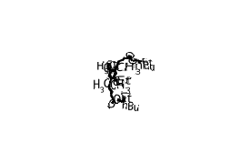 CCCCC(CC)COC(=O)CCCC(C)(C)c1cc(OCC)c(C(C)(C)CCCC(=O)OCC(CC)CCCC)cc1OCC